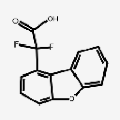 O=C(O)C(F)(F)c1cccc2oc3ccccc3c12